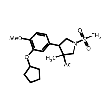 COc1ccc(C2CN(S(C)(=O)=O)CC2(C)C(C)=O)cc1OC1CCCC1